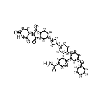 NC(=O)c1ccc(-c2cc(Oc3ccccc3)ccc2C2CCN(C3CN(c4ccc5c(c4)C(=O)N(C4CCC(=O)NC4=O)C5=O)C3)CC2)nc1